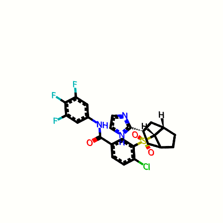 O=C(Nc1cc(F)c(F)c(F)c1)c1ccc(Cl)c(S(=O)(=O)[C@H]2C3CC[C@H]2C[C@@H](c2ncc[nH]2)C3)c1